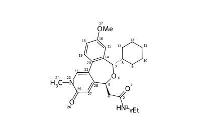 CCNC(=O)C[C@@H]1O[C@@H](C2CCCCC2)c2cc(OC)ccc2-c2cn(C)c(=O)cc21